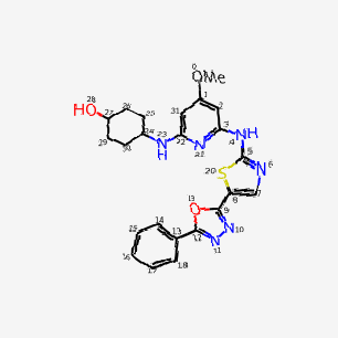 COc1cc(Nc2ncc(-c3nnc(-c4ccccc4)o3)s2)nc(NC2CCC(O)CC2)c1